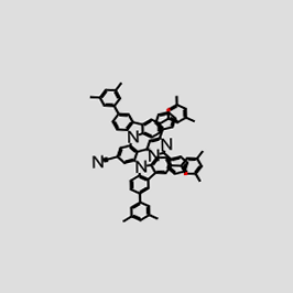 Cc1cc(C)cc(-c2ccc3c(c2)c2cc(-c4cc(C)cc(C)c4)ccc2n3-c2cc(C#N)cc(-n3c4ccc(-c5cc(C)cc(C)c5)cc4c4cc(-c5cc(C)cc(C)c5)ccc43)c2-c2cc(-c3ccccc3)nc(-c3ccccc3)n2)c1